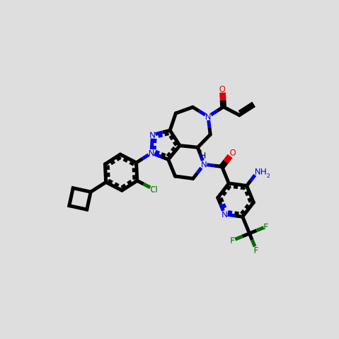 C=CC(=O)N1CCc2nn(-c3ccc(C4CCC4)cc3Cl)c3c2[C@@H](C1)N(C(=O)c1cnc(C(F)(F)F)cc1N)CC3